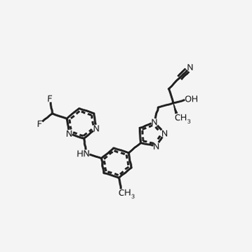 Cc1cc(Nc2nccc(C(F)F)n2)cc(-c2cn(C[C@@](C)(O)CC#N)nn2)c1